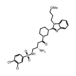 COCCCn1c([C@@H]2CCCN(C(=O)C[C@H](N)CNS(=O)(=O)c3ccc(Cl)c(Cl)c3)C2)nc2ccccc21